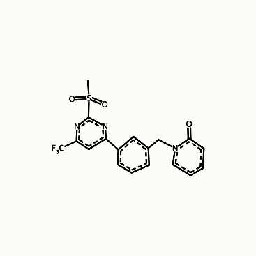 CS(=O)(=O)c1nc(-c2cccc(Cn3ccccc3=O)c2)cc(C(F)(F)F)n1